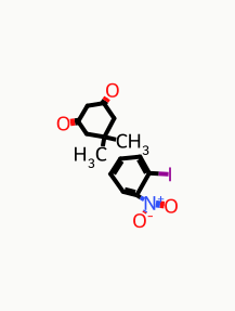 CC1(C)CC(=O)CC(=O)C1.O=[N+]([O-])c1ccccc1I